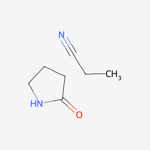 CCC#N.O=C1CCCN1